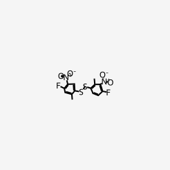 Cc1cc(F)c([N+](=O)[O-])cc1SSc1ccc(F)c([N+](=O)[O-])c1C